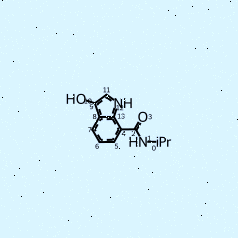 CC(C)NC(=O)c1cccc2c(O)c[nH]c12